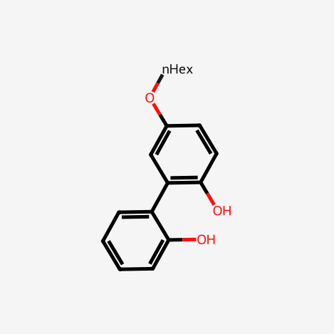 CCCCCCOc1ccc(O)c(-c2ccccc2O)c1